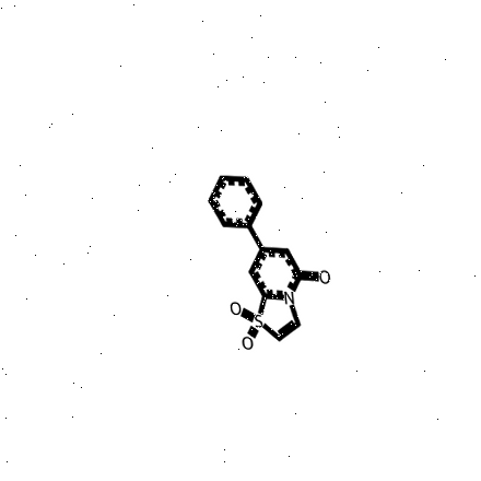 O=c1cc(-c2ccccc2)cc2n1C=CS2(=O)=O